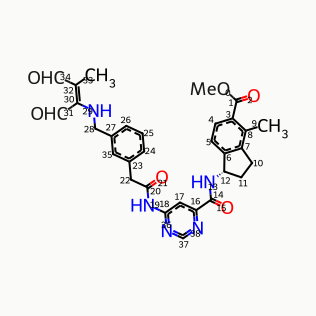 COC(=O)c1ccc2c(c1C)CC[C@@H]2NC(=O)c1cc(NC(=O)Cc2cccc(CN/C(C=O)=C(\C)C=O)c2)ncn1